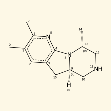 Cc1cc2c(nc1C)N1[C@@H](CNC[C@H]1C)C2